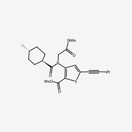 CNC(=O)CN(c1cc(C#CC(C)C)sc1C(=O)OC)C(=O)[C@H]1CC[C@H](C)CC1